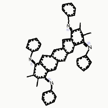 Cc1c(C)/c(=N\c2ccccc2)c2cc3cc4cc5/c(=N\c6ccccc6)c(C)c(C)/c(=N\c6ccccc6)c5cc4cc3cc2/c1=N\c1ccccc1